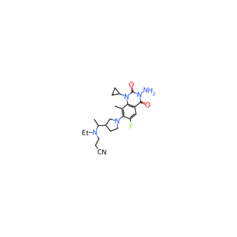 CCN(CCC#N)C(C)C1CCN(c2c(F)cc3c(=O)n(N)c(=O)n(C4CC4)c3c2C)C1